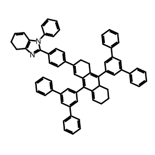 C1=Cc2c(nc(-c3ccc(C4=CC5=C(c6cc(-c7ccccc7)cc(-c7ccccc7)c6)C6=CCCCC6C(c6cc(-c7ccccc7)cc(-c7ccccc7)c6)=C5CC4)cc3)n2-c2ccccc2)CC1